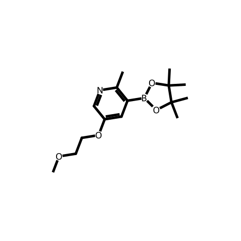 COCCOc1cnc(C)c(B2OC(C)(C)C(C)(C)O2)c1